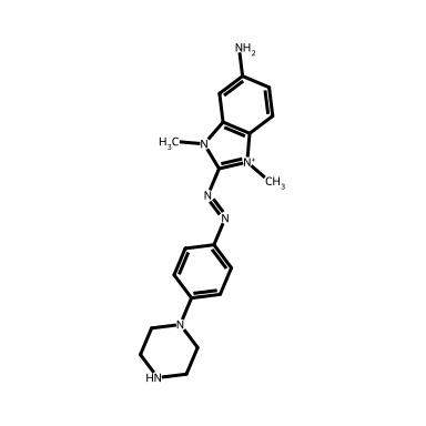 Cn1c(/N=N/c2ccc(N3CCNCC3)cc2)[n+](C)c2ccc(N)cc21